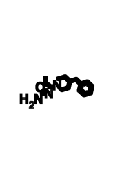 CC1OC(N)=NC1N1CCC(Cc2ccccc2)CC1